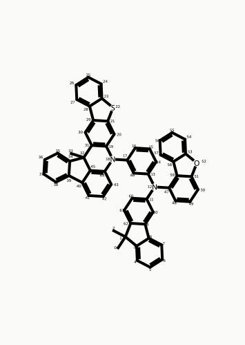 CC1(C)c2ccccc2-c2cc(N(c3cccc(N4c5cc6sc7ccccc7c6cc5C5(C)c6ccccc6-c6cccc4c65)c3)c3cccc4oc5ccccc5c34)ccc21